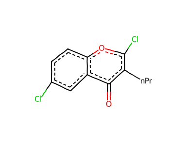 CCCc1c(Cl)oc2ccc(Cl)cc2c1=O